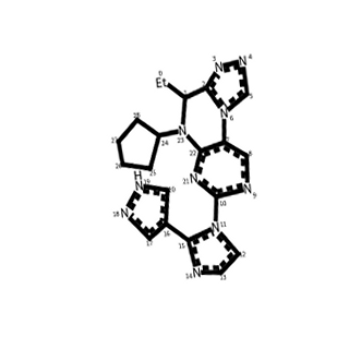 CCC1c2nncn2-c2cnc(-n3ccnc3-c3cn[nH]c3)nc2N1C1CCCC1